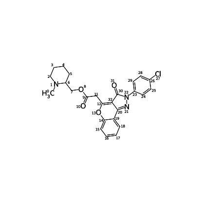 CN1CCCCC1COC(=O)Cc1oc2ccccc2c2nn(-c3ccc(Cl)cc3)c(=O)c1-2